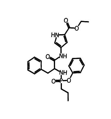 CCCP(=O)(NC(Cc1ccccc1)C(=O)Nc1c[nH]c(C(=O)OCC)c1)Oc1ccccc1